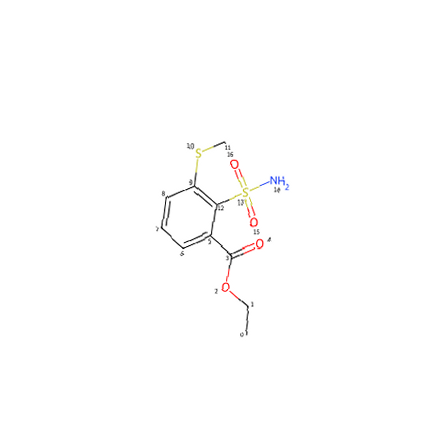 CCOC(=O)c1cccc(SC)c1S(N)(=O)=O